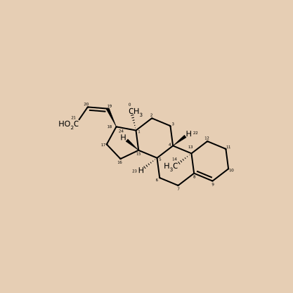 C[C@]12CC[C@H]3[C@@H](CCC4=CCCC[C@@]43C)[C@@H]1CC[C@H]2/C=C\C(=O)O